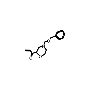 C=CC(=O)C1CN(COCc2ccccc2)CCO1